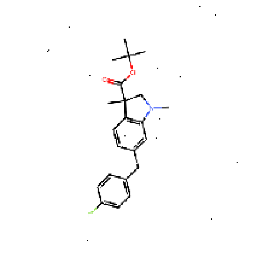 CN1CC(C)(C(=O)OC(C)(C)C)c2ccc(Cc3ccc(F)cc3)cc21